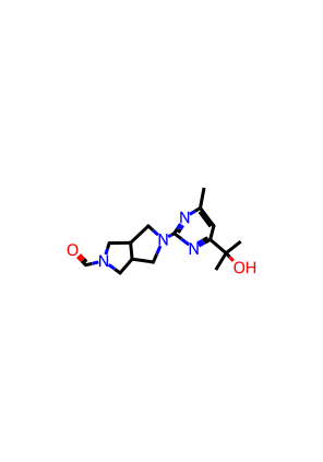 Cc1cc(C(C)(C)O)nc(N2CC3CN(C=O)CC3C2)n1